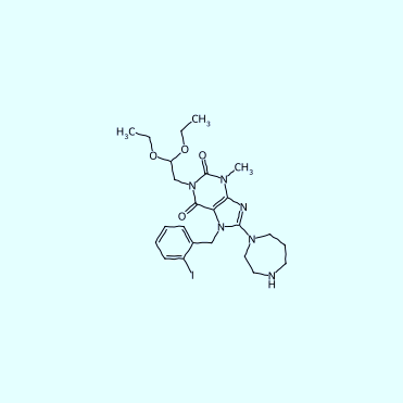 CCOC(Cn1c(=O)c2c(nc(N3CCCNCC3)n2Cc2ccccc2I)n(C)c1=O)OCC